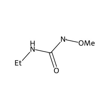 CCNC(=O)[N]OC